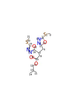 CSc1nnc(CC(CC(=O)OCC(C)C)c2nnc(SC)o2)o1